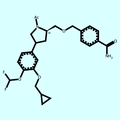 CC(=O)N1CC(c2ccc(OC(F)F)c(OCC3CC3)c2)C[C@@H]1COCc1ccc(C(N)=O)cc1